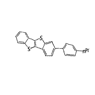 CCCc1ccc(-c2ccc3c(c2)sc2c4ccccc4sc32)cc1